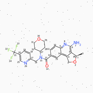 C[C@H]1OCc2c1c(N)nc1ccc(C(=O)N(Cc3ccc(C(F)(F)F)cn3)C3CCOCC3)cc21